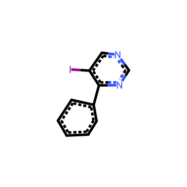 Ic1cncnc1-c1ccccc1